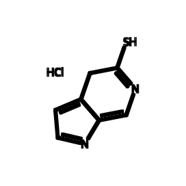 Cl.SC1=NC=C2N=CC=C2C1